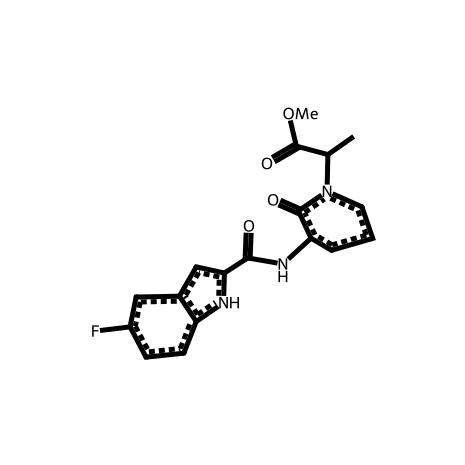 COC(=O)C(C)n1cccc(NC(=O)c2cc3cc(F)ccc3[nH]2)c1=O